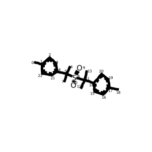 Cc1ccc(C(C)(C)S(=O)(=O)C(C)(C)c2ccc(C)cc2)cc1